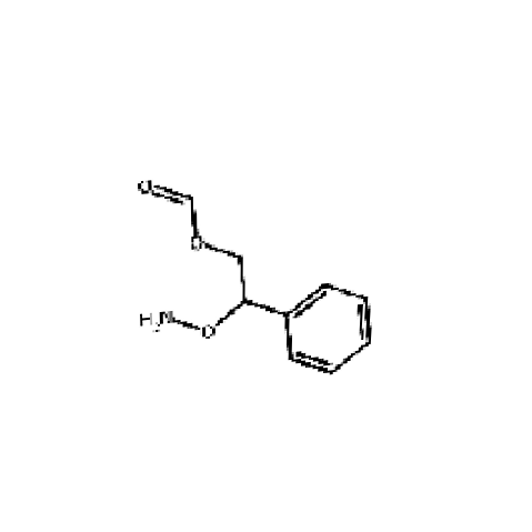 NOC(COC=O)c1ccccc1